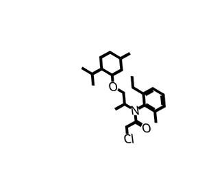 CCc1cccc(C)c1N(C(=O)CCl)C(C)COC1CC(C)CCC1C(C)C